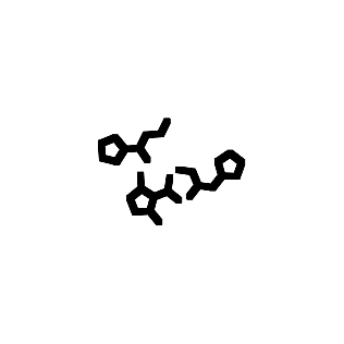 CC(C)C1C(C)CCC1C.CCC(C)CC1CCCC1.CCCC(C)C1CCCC1